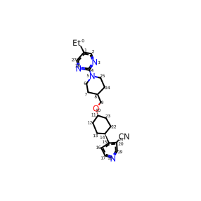 CCc1cnc(N2CCC(CO[C@H]3CC[C@H](c4ccncc4C#N)CC3)CC2)nc1